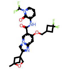 CC12CC(c3cn4cc(C(=O)Nc5cccn(C(F)F)c5=O)c(OCC5CC(F)(F)C5)cc4n3)(CO1)C2